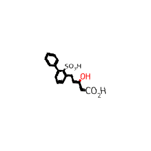 O=C(O)CC(O)CCc1cccc(-c2ccccc2)c1S(=O)(=O)O